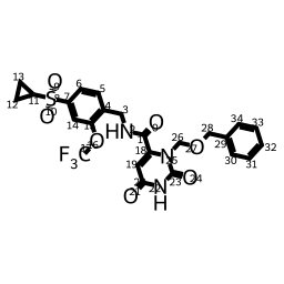 O=C(NCc1ccc(S(=O)(=O)C2CC2)cc1OC(F)(F)F)c1cc(=O)[nH]c(=O)n1COCc1ccccc1